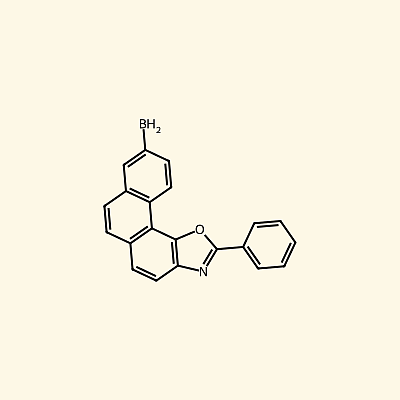 Bc1ccc2c(ccc3ccc4nc(-c5ccccc5)oc4c32)c1